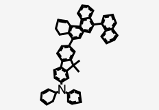 CC1(C)c2cc(-c3cc4cc(-c5cccc6ccccc56)c5ccccc5c4c4c3CCC=C4)ccc2-c2ccc(N(c3ccccc3)C3C=CC=CC3)cc21